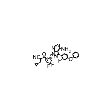 N#CC(=CC1CC1)C(=O)N1CC(F)(F)C[C@@H]1Cn1nc(-c2ccc(Oc3ccccc3)cc2F)c2c(N)ncnc21